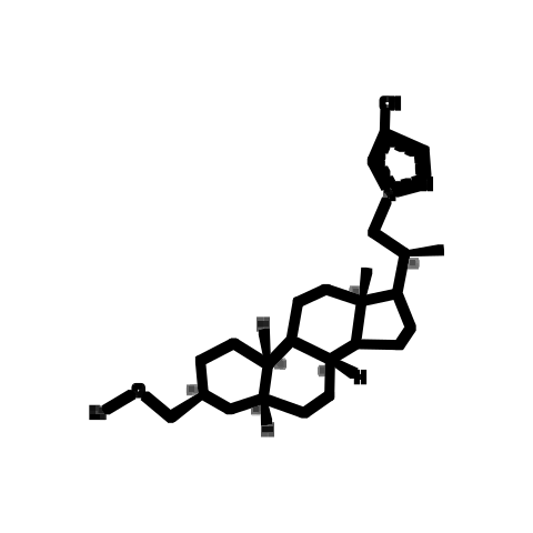 CCOC[C@H]1CC[C@@H]2C3CC[C@@]4(C)C(CCC4[C@H](C)Cn4cc(C#N)cn4)[C@@H]3CC[C@@H]2C1